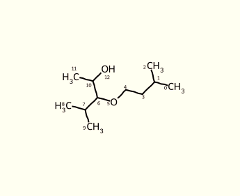 CC(C)CCOC(C(C)C)C(C)O